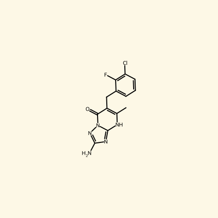 Cc1[nH]c2nc(N)nn2c(=O)c1Cc1cccc(Cl)c1F